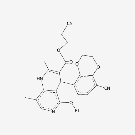 CCOc1ncc(C)c2c1C(c1ccc(C#N)c3c1OCCO3)C(C(=O)OCCC#N)=C(C)N2